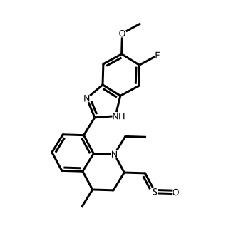 CCN1c2c(-c3nc4cc(OC)c(F)cc4[nH]3)cccc2C(C)CC1C=S=O